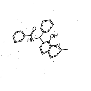 Cc1ccc2ccc(C(NC(=O)c3ccccc3)c3ccccc3)c(O)c2n1